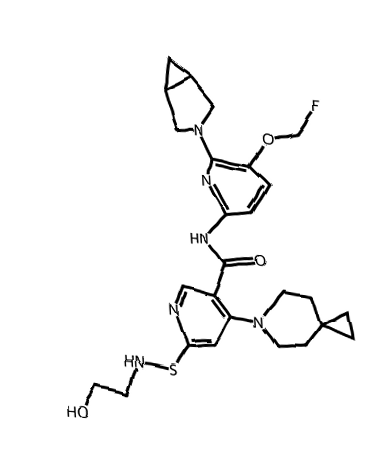 O=C(Nc1ccc(OCF)c(N2CC3CC3C2)n1)c1cnc(SNCCO)cc1N1CCC2(CC1)CC2